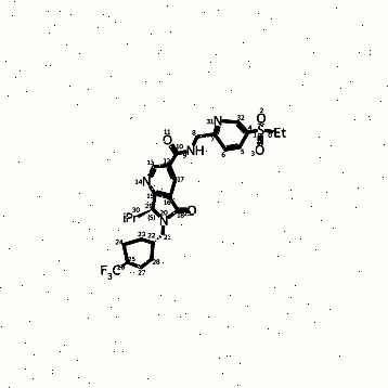 CCS(=O)(=O)c1ccc(CNC(=O)c2cnc3c(c2)C(=O)N(C[C@H]2CC[C@H](C(F)(F)F)CC2)[C@H]3C(C)C)nc1